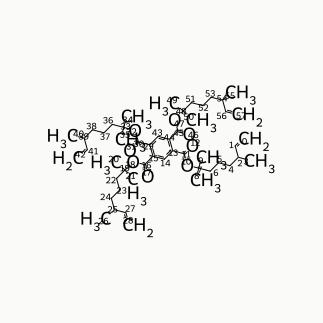 C=CC(C)CCCC(C)(C)OC(=O)c1cc(C(=O)OC(C)(C)CCCC(C)C=C)c(C(=O)OC(C)(C)CCCC(C)C=C)cc1C(=O)OC(C)(C)CCCC(C)C=C